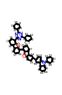 c1ccc(-c2nc(-c3ccccc3)nc(-c3cccc4c3oc3c(-c5cccc6c5oc5ccc(-c7ccc8c(c7)c7ccccc7n8-c7ccccc7)cc56)cccc34)n2)cc1